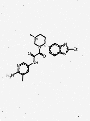 CCc1nc2cc([C@H]3CC[C@H](C)CN3C(=O)C(=O)Nc3cnc(N)c(C)c3)ccc2s1